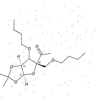 CCCCOC[C@@]1(C(C)=O)O[C@H]2OC(C)(C)O[C@H]2C1OCCCC